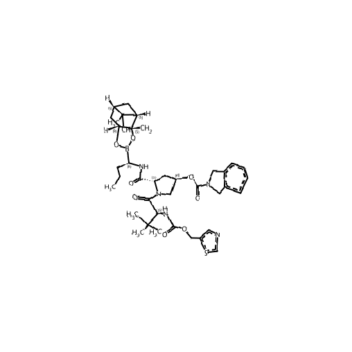 CCC[C@H](NC(=O)[C@@H]1C[C@@H](OC(=O)N2Cc3ccccc3C2)CN1C(=O)[C@@H](NC(=O)OCc1cncs1)C(C)(C)C)B1O[C@@H]2C[C@@H]3C[C@@H](C3(C)C)[C@]2(C)O1